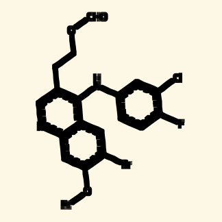 CCOc1cc2ncc(CCOC=O)c(Nc3ccc(F)c(Cl)c3)c2cc1Br